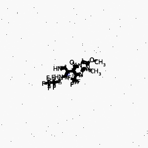 COc1cn2c(=O)c(/C(C=N)=C/NCC(F)(F)C(F)(F)F)c(C(F)(F)F)nc2n1C